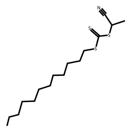 CCCCCCCCCCCCSC(=S)SC(C)C#N